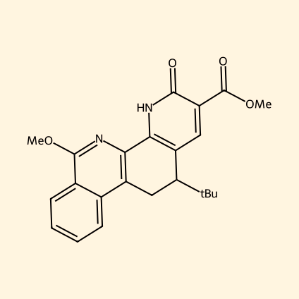 COC(=O)c1cc2c([nH]c1=O)-c1nc(OC)c3ccccc3c1CC2C(C)(C)C